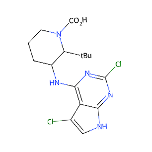 CC(C)(C)C1C(Nc2nc(Cl)nc3[nH]cc(Cl)c23)CCCN1C(=O)O